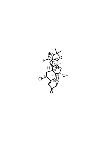 CC1(C)O[C@@H]2C[C@H]3[C@@H]4C[C@H](Cl)C5=CC(=O)C=C[C@]5(C)[C@H]4[C@@H](O)C[C@]3(C)[C@]2(C(=O)C(F)Br)O1